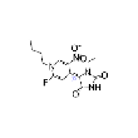 CCCCN1C=C([N+](=O)[O-])/C(=C2/C(=O)NC(=O)N2CC)C=C1F